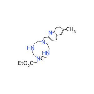 CCOC(=O)CN1CCNCCN(Cc2ccc3cc(C)ccc3n2)CCNCC1